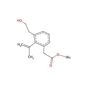 C=C(C)c1c(CCO)cccc1CC(=O)OC(C)(C)C